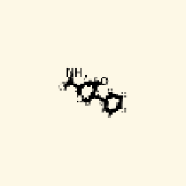 NC(=O)c1cc(=O)c(-c2ccccc2)co1